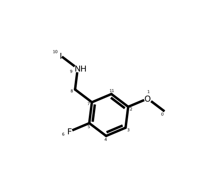 COc1ccc(F)c(CNI)c1